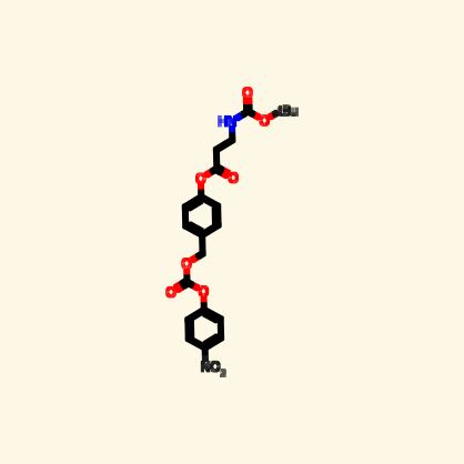 CC(C)(C)OC(=O)NCCC(=O)Oc1ccc(COC(=O)Oc2ccc([N+](=O)[O-])cc2)cc1